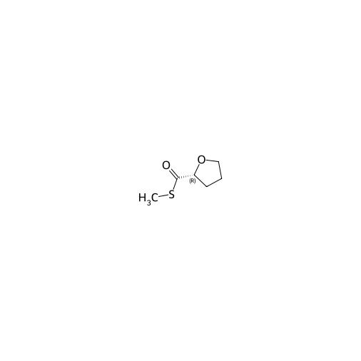 CSC(=O)[C@H]1CCCO1